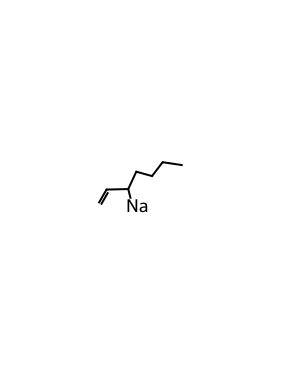 C=C[CH]([Na])CCCC